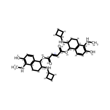 CNc1c(O)ccc2c1CCC(NC1CCC1)C2OC(=O)/C=C/C(=O)OC1c2ccc(O)c(NC)c2CCC1NC1CCC1